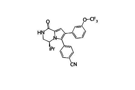 CC(C)[C@H]1CNC(=O)c2cc(-c3cccc(OC(F)(F)F)c3)c(-c3ccc(C#N)cc3)n21